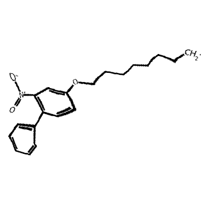 [CH2]CCCCCCCOc1ccc(-c2ccccc2)c([N+](=O)[O-])c1